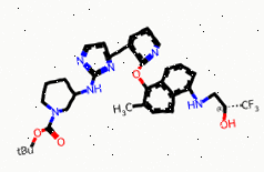 Cc1ccc2c(NC[C@@H](O)C(F)(F)F)cccc2c1Oc1ncccc1-c1ccnc(NC2CCCN(C(=O)OC(C)(C)C)C2)n1